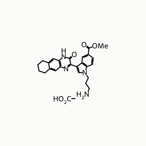 CC(=O)O.COC(=O)c1ccc2c(c1)c(-c1nc3cc4c(cc3[nH]c1=O)CCCC4)cn2CCCN